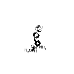 C=CC(=O)Nc1cc(CN2CCN(C(=O)OC(C)(C)C)CC2)ccc1N